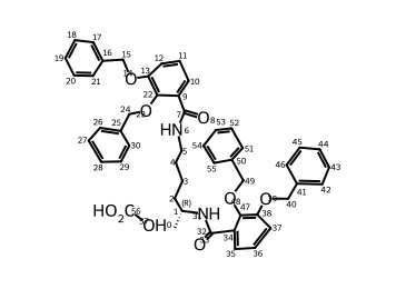 C[C@H](CCCCNC(=O)c1cccc(OCc2ccccc2)c1OCc1ccccc1)NC(=O)c1cccc(OCc2ccccc2)c1OCc1ccccc1.O=C(O)O